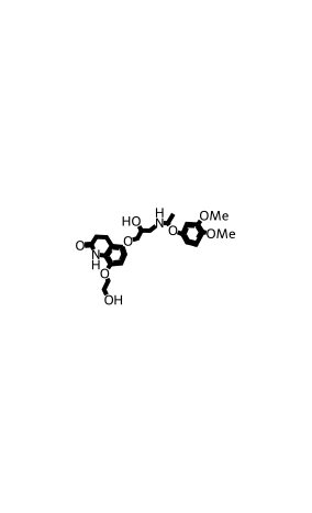 COc1ccc(OC(C)NCC(O)COc2ccc(OCCO)c3c2CCC(=O)N3)cc1OC